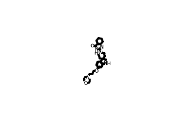 O=c1[nH]c(N2CCC3(CC2)CNc2cc(OCCCN4CCOCC4)ccc23)nc2c1CCCC2